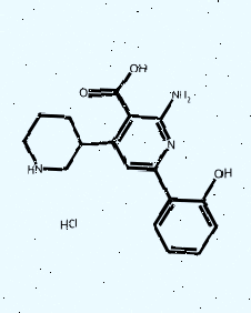 Cl.Nc1nc(-c2ccccc2O)cc(C2CCCNC2)c1C(=O)O